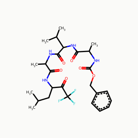 CC(C)CC(NC(=O)C(C)NC(=O)C(NC(=O)C(C)NC(=O)OCc1ccccc1)C(C)C)C(=O)C(F)(F)F